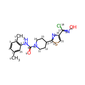 Cc1ccc(C)c(NC(=O)N2CCC(c3nc(C(Cl)=NO)cs3)CC2)c1